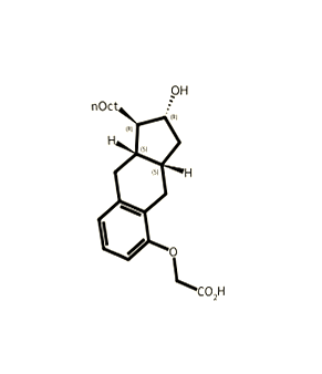 CCCCCCCC[C@@H]1[C@H]2Cc3cccc(OCC(=O)O)c3C[C@H]2C[C@H]1O